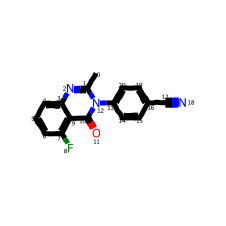 Cc1nc2cccc(F)c2c(=O)n1-c1ccc(C#N)cc1